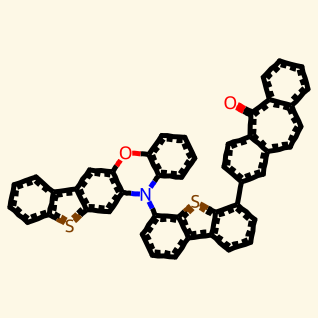 O=c1c2ccccc2ccc2cc(-c3cccc4c3sc3c(N5c6ccccc6Oc6cc7c(cc65)sc5ccccc57)cccc34)ccc12